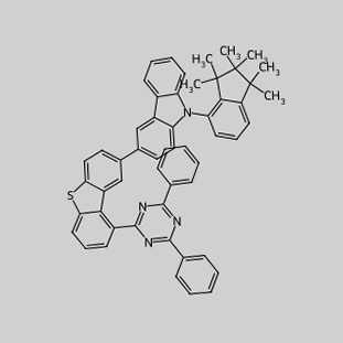 CC1(C)c2cccc(-n3c4ccccc4c4cc(-c5ccc6sc7cccc(-c8nc(-c9ccccc9)nc(-c9ccccc9)n8)c7c6c5)ccc43)c2C(C)(C)C1(C)C